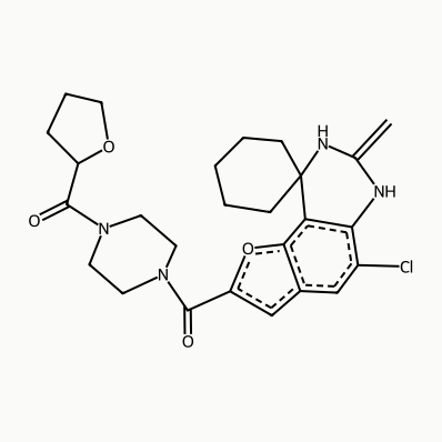 C=C1Nc2c(Cl)cc3cc(C(=O)N4CCN(C(=O)C5CCCO5)CC4)oc3c2C2(CCCCC2)N1